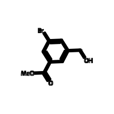 COC(=O)c1cc(Br)cc([CH]O)c1